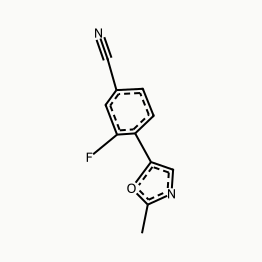 Cc1ncc(-c2ccc(C#N)cc2F)o1